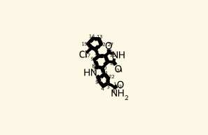 NC(=O)c1ccc2[nH]c3cc(-c4ccccc4Cl)c4c(c3c2c1)C(=O)NC4=O